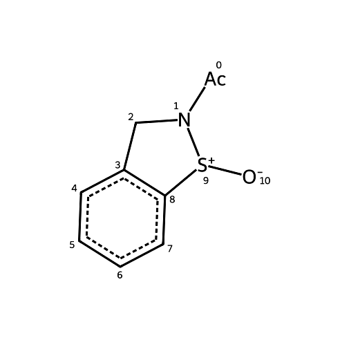 CC(=O)N1Cc2ccccc2[S+]1[O-]